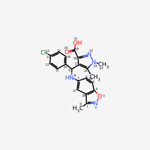 Cc1noc2ccc(NC(c3ccc(Cl)cc3)c3c(C(=O)O)nn(C)c3C)cc12